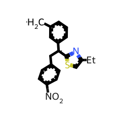 [CH2]c1cccc([C](Cc2ccc([N+](=O)[O-])cc2)c2nc(CC)cs2)c1